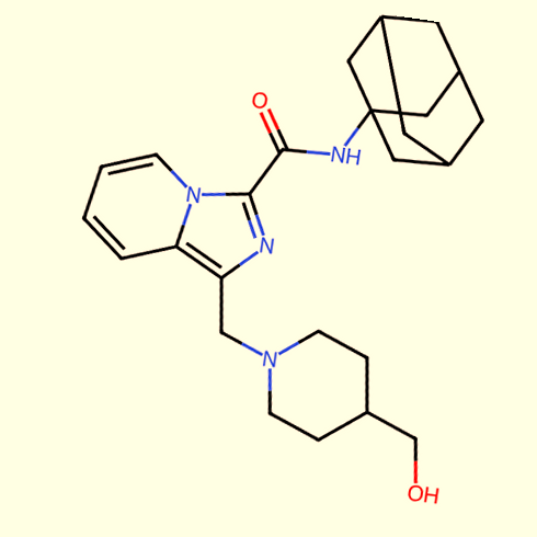 O=C(NC12CC3CC(CC(C3)C1)C2)c1nc(CN2CCC(CO)CC2)c2ccccn12